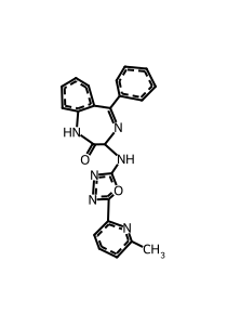 Cc1cccc(-c2nnc(NC3N=C(c4ccccc4)c4ccccc4NC3=O)o2)n1